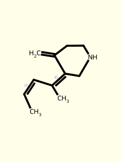 C=C1CCNC/C1=C(C)/C=C\C